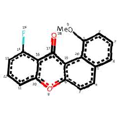 COc1cccc2ccc3oc4cccc(F)c4c(=O)c3c12